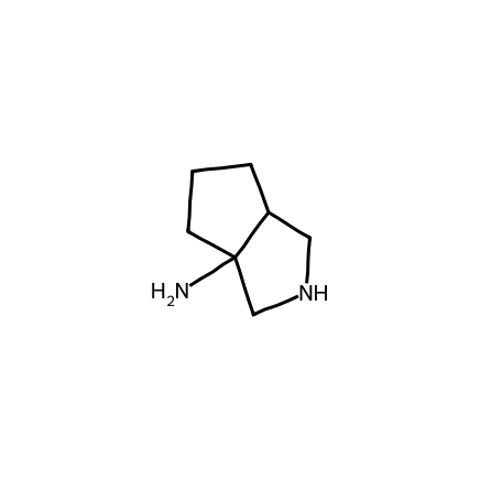 NC12CCCC1CNC2